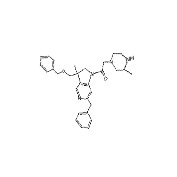 CC1CN(CC(=O)N2CC(C)(COCc3ccccc3)c3cnc(Cc4ccccc4)cc32)CCN1